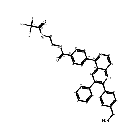 NCc1ccc(-c2nc3ccnc(-c4ccc(C(=O)NCCOC(=O)C(F)(F)F)cc4)c3cc2-c2ccccc2)cc1